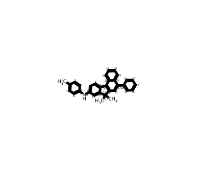 Cc1ccc(Nc2ccc3c(c2)C(C)(C)c2cc(-c4ccccc4)c4ccccc4c2-3)cc1